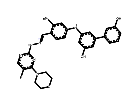 CCCc1cc(Nc2cc(O)cc(-c3cccc(O)c3)c2)ccc1/C=N/Nc1ncc(F)c(N2CCOCC2)n1